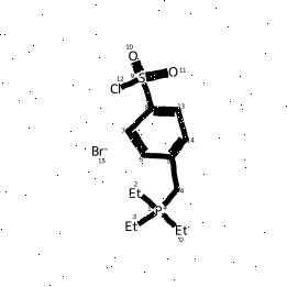 CC[P+](CC)(CC)Cc1ccc(S(=O)(=O)Cl)cc1.[Br-]